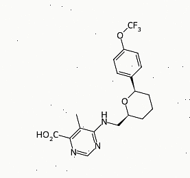 Cc1c(NC[C@@H]2CCC[C@H](c3ccc(OC(F)(F)F)cc3)O2)ncnc1C(=O)O